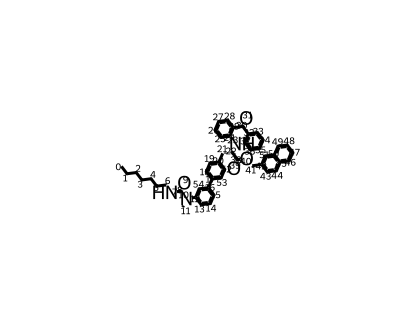 CCCCCCCNC(=O)N(C)c1cccc(-c2ccc(C[C@H](Nc3ccccc3C(=O)c3ccccc3)C(=O)OCc3ccc4ccccc4c3)cc2)c1